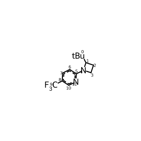 CC(C)(C)C1CCN1c1ccc(C(F)(F)F)cn1